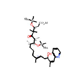 CC(=Cc1ccccn1)C(O)C/C=C(\C)CCC[C@H](C)[C@H](O[Si](C)(C)C(C)(C)C)[C@@H](C)C(=O)C(C)(C)[C@H](CC(=O)O)O[Si](C)(C)C(C)(C)C